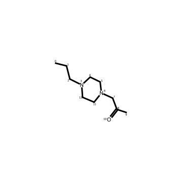 CCCN1CCN(CC(C)=O)CC1